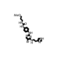 COCCCNC(=O)Nc1ccc(Nc2ncc(Br)c(NCCc3c[nH]cn3)n2)cc1